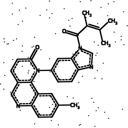 CC(C)=C(C)C(=O)n1cnc2ccc(-n3c(=O)ccc4cnc5ccc(C)cc5c43)cc21